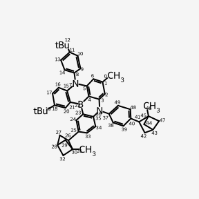 Cc1cc2c3c(c1)N(c1ccc(C(C)(C)C)cc1)c1ccc(C(C)(C)C)cc1B3c1cc(C3CC4CC3(C)C4)ccc1N2c1ccc(C2CC3CC2(C)C3)cc1